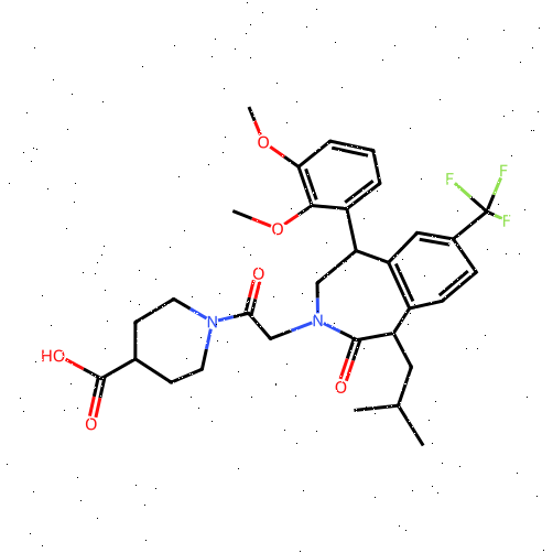 COc1cccc(C2CN(CC(=O)N3CCC(C(=O)O)CC3)C(=O)C(CC(C)C)c3ccc(C(F)(F)F)cc32)c1OC